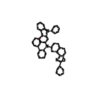 c1ccc(-c2nc3c(ccc4ccc(N(c5ccc6c7ccccc7n(-c7ccccc7)c6c5)c5ccccc5-c5ccccc5)cc43)o2)cc1